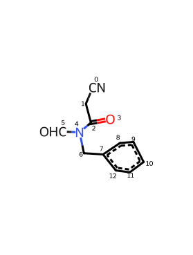 N#CCC(=O)N(C=O)Cc1ccccc1